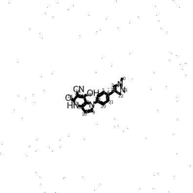 Cn1cc(-c2ccc(-n3ccc4[nH]c(=O)c(C#N)c(O)c43)cc2)cn1